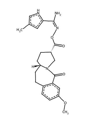 COc1ccc2c(c1)C(=O)N1C[C@@H](C(=O)O/N=C(/N)c3cc(C)c[nH]3)CC[C@H]1CC2